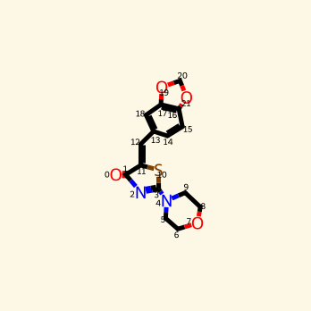 O=C1N=C(N2CCOCC2)S/C1=C\c1ccc2c(c1)OCO2